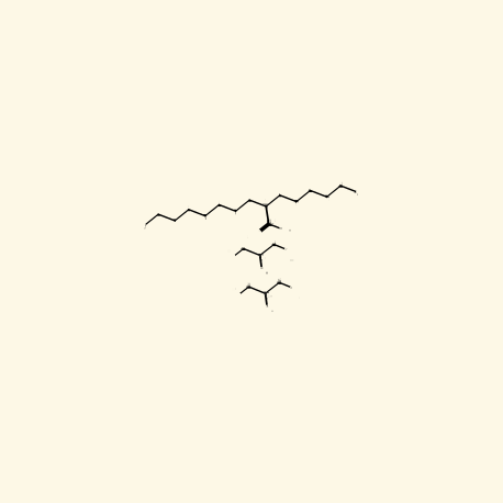 CCCCCCCCC(CCCCCC)C(=O)O.OCC(O)CO.OCC(O)CO